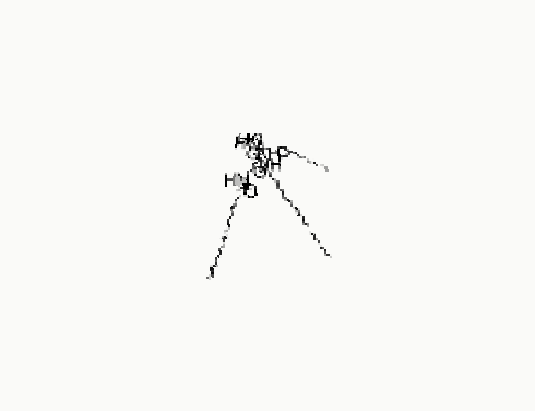 CCC=CCC=CCC=CCC=CCC=CCC=CCCC(=O)NC(CCCCNC(=O)CCCC=CCC=CCC=CCC=CCC=CCC)C(=O)NC(CO)(CO)CCc1ccc(CCCCCCCC)cc1